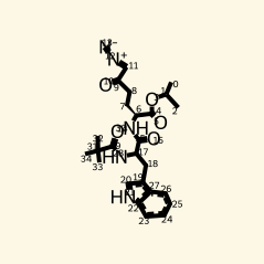 CC(C)OC(=O)[C@H](CCC(=O)C=[N+]=[N-])NC(=O)C(Cc1c[nH]c2ccccc12)NC(=O)C(C)(C)C